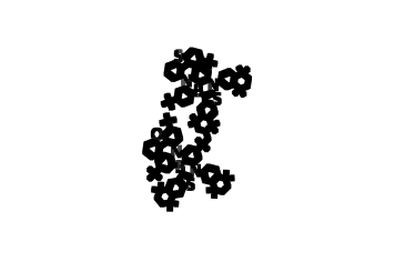 Cc1cc2c3c(c1)N(c1cccc4sc5ccc(C(C)(C)C)cc5c14)c1cc(C(C)(C)C)ccc1B3c1c(sc3cc4c(cc13)C(C)(C)CC(CC(C)(C)c1cc3c5c(c1)N(c1ccc(C(C)(C)C)c6oc7ccccc7c16)c1ccc(C(C)(C)C)cc1B5c1c(sc5cc6c(cc15)C(C)(C)CCC6(C)C)N3c1ccc3c(c1)C(C)(C)CCC3(C)C)C4(C)C)N2c1ccc2c(c1)C(C)(C)CCC2(C)C